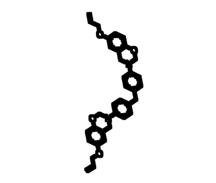 C=CCOc1ccc2c(c1)CN(c1ccc(Cc3ccc(N4COc5ccc(OCC=C)cc5C4)cc3)cc1)CO2